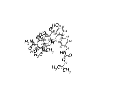 CC(C)COC(=O)NCc1ccc(-c2ccc(O)c3c2C[C@@H]2C[C@@H]4[C@@H](N(C)C)C(O)=C(C(N)=O)C(=O)[C@@]4(O)C(O)=C2C3=O)cc1